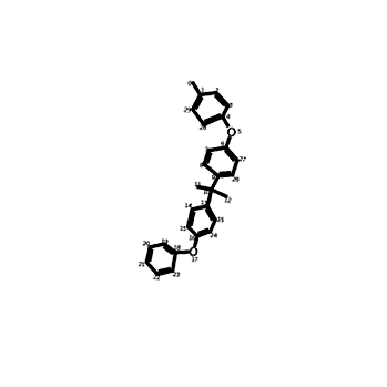 Cc1ccc(Oc2ccc(C(C)(C)c3ccc(Oc4ccccc4)cc3)cc2)cc1